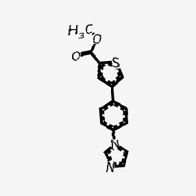 COC(=O)c1cc(-c2ccc(-n3ccnc3)cc2)cs1